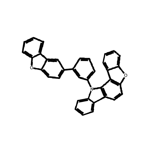 c1cc(-c2ccc3oc4ccccc4c3c2)cc(-n2c3ccccc3c3ccc4oc5ccccc5c4c32)c1